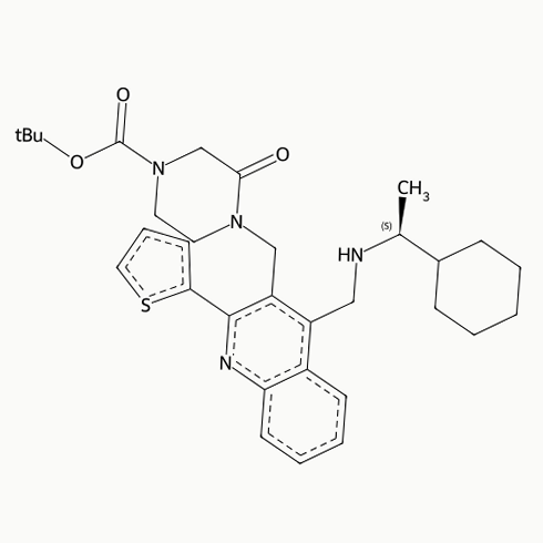 C[C@H](NCc1c(CN2CCN(C(=O)OC(C)(C)C)CC2=O)c(-c2cccs2)nc2ccccc12)C1CCCCC1